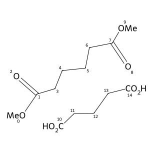 COC(=O)CCCCC(=O)OC.O=C(O)CCCC(=O)O